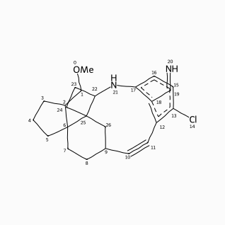 COCC1CCCC12CCC1C#Cc3c(Cl)ccc(c3C=N)NC3CCC32C1